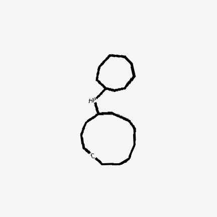 C1CCCCCC(PC2CCCCCCCC2)CCCCC1